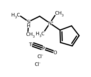 C[SiH](C)C[N+](C)(C)C1=CC=CC1.O=[P]#[Ti+].[Cl-].[Cl-]